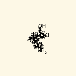 CC1(C)O[C@H]2[C@@H](O1)[C@H](n1ccc3c(N)ncnc31)O[C@@H]2[C@H](O)c1ccc(Cl)cc1CCCO